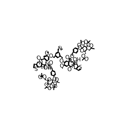 COc1cc2c(cc1OCc1cc(COc3cc4c(cc3OC)C(=O)N3Cc5ccsc5C[C@H]3C(O)N4C(=O)OCc3ccc(O[C@@H]4O[C@H](COC(C)=O)[C@H](CC(C)=O)[C@H](OC(C)=O)[C@@H]4OC(C)=O)cc3)cc(CN(C)C)c1)N(C(=O)OCc1ccc(O[C@@H]3O[C@H](COC(C)=O)[C@H](OC(C)=O)[C@H](OC(C)=O)[C@@H]3OC(C)=O)cc1)C(O)[C@@H]1Cc3sccc3CN1C2=O